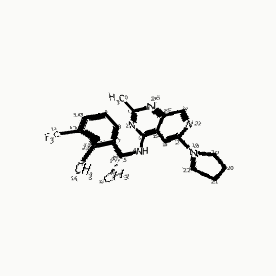 Cc1nc(N[C@H](C)c2cccc(C(F)(F)F)c2C)c2cc(N3CCCC3)ncc2n1